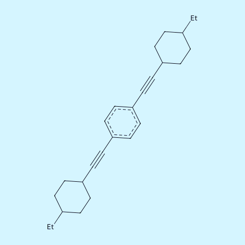 CCC1CCC(C#Cc2ccc(C#CC3CCC(CC)CC3)cc2)CC1